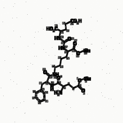 CC(C)(C)OC(=O)CCC(N)C(=O)NC(Cc1ccccc1)C(=O)NCCCCC(NC(=O)NC(CCC(=O)O)C(=O)O)C(=O)OC(C)(C)C